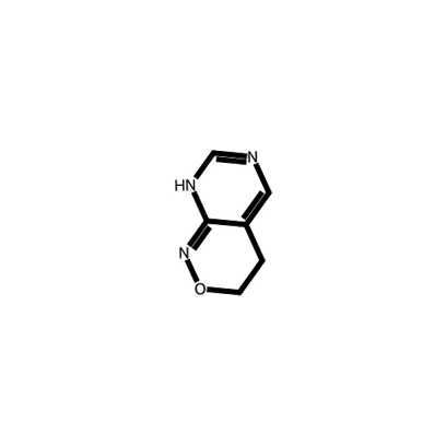 C1=NC=C2CCON=C2N1